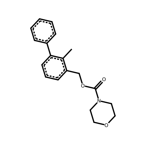 Cc1c(COC(=O)N2CCOCC2)cccc1-c1ccccc1